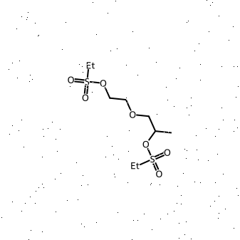 CCS(=O)(=O)OCCOCC(C)OS(=O)(=O)CC